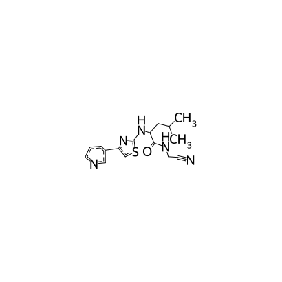 CC(C)CC(Nc1nc(-c2cccnc2)cs1)C(=O)NCC#N